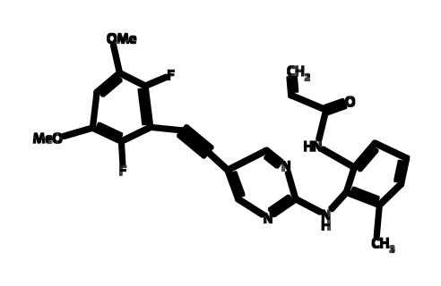 C=CC(=O)Nc1cccc(C)c1Nc1ncc(C#Cc2c(F)c(OC)cc(OC)c2F)cn1